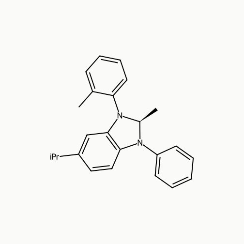 Cc1ccccc1N1c2cc(C(C)C)ccc2N(c2ccccc2)[C@@H]1C